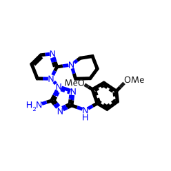 COc1ccc(Nc2nc(N)n(N3CC=CN=C3N3CCCCC3)n2)c(OC)c1